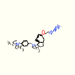 CN(C)c1ccc(CN(C)C2CCc3cc(OCCN=[N+]=[N-])ccc32)cc1